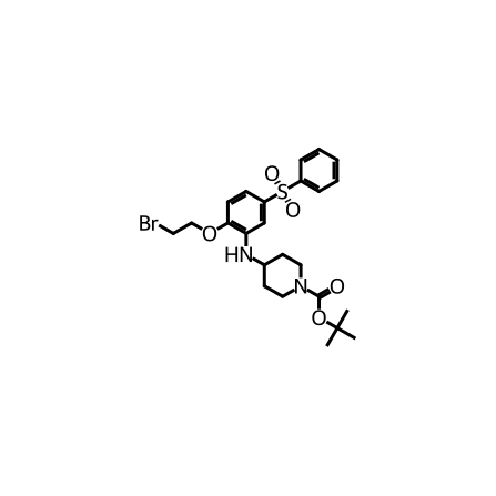 CC(C)(C)OC(=O)N1CCC(Nc2cc(S(=O)(=O)c3ccccc3)ccc2OCCBr)CC1